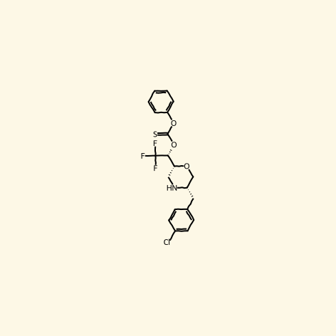 FC(F)(F)[C@H](OC(=S)Oc1ccccc1)[C@H]1CN[C@@H](Cc2ccc(Cl)cc2)CO1